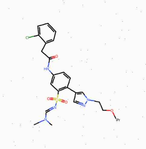 CC(C)OCCn1cc(-c2ccc(NC(=O)Cc3ccccc3Cl)cc2S(=O)(=O)N=CN(C)C)cn1